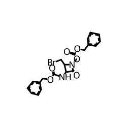 O=C(NC1C(=O)N(OC(=O)OCc2ccccc2)C1CBr)OCc1ccccc1